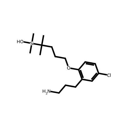 CC(C)(CCCOc1ccc(Cl)cc1CCCN)[Si](C)(C)O